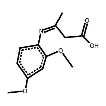 COc1ccc(/N=C(/C)CC(=O)O)c(OC)c1